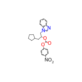 O=C(Oc1ccc([N+](=O)[O-])cc1)OC(CC1CCCC1)Cn1cnc2ccccc21